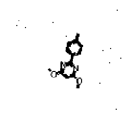 COc1cc(OC)nc(-c2ccc(C)cc2)n1